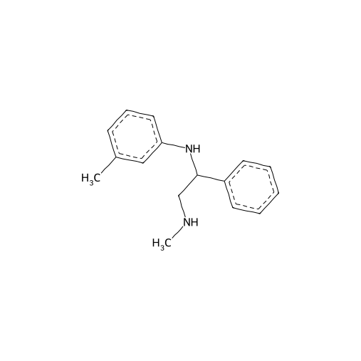 CNCC(Nc1cccc(C)c1)c1ccccc1